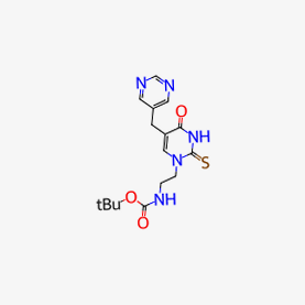 CC(C)(C)OC(=O)NCCn1cc(Cc2cncnc2)c(=O)[nH]c1=S